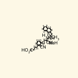 CC(C)(Cc1ccc2ccccc2c1)NC[C@@H](O)COc1cccc(CCCC(=O)O)c1C#N.[NaH]